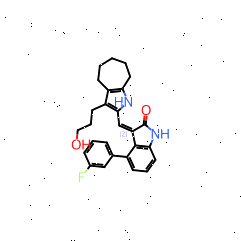 O=C1Nc2cccc(-c3cccc(F)c3)c2/C1=C/c1[nH]c2c(c1CCCO)CCCCC2